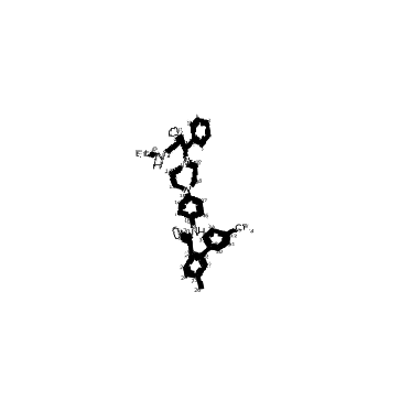 CCNC(=O)C(c1ccccc1)N1CCN(c2ccc(NC(=O)c3ccc(C)cc3-c3ccc(C(F)(F)F)cc3)cc2)CC1